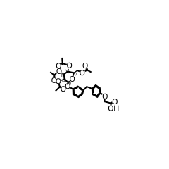 CC(=O)OC[C@H]1O[C@H](Oc2cccc(Cc3ccc(OCC(=O)O)cc3)c2)[C@@H](OC(C)=O)[C@@H](OC(C)=O)[C@@H]1OC(C)=O